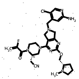 C=C(F)C(=O)N1CCN(c2nc(OC[C@@H]3CCCN3C)nc3c2CN(Cc2cc(N)ncc2Cl)C3)C[C@@H]1CC#N